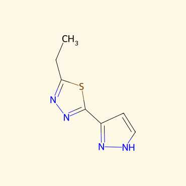 CCc1nnc(-c2cc[nH]n2)s1